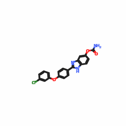 NC(=O)Oc1ccc2[nH]c(-c3ccc(Oc4cccc(Cl)c4)cc3)nc2c1